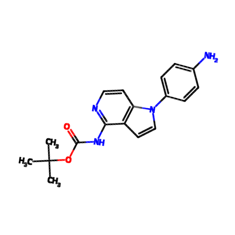 CC(C)(C)OC(=O)Nc1nccc2c1ccn2-c1ccc(N)cc1